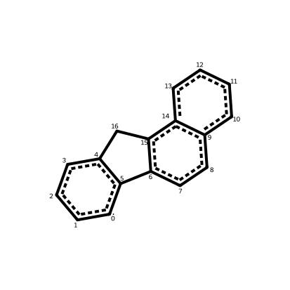 [c]1cccc2c1-c1ccc3ccccc3c1C2